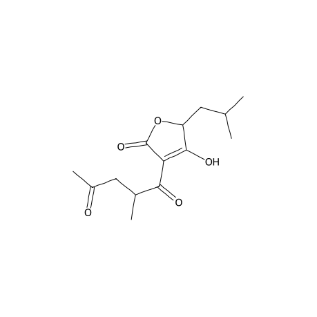 CC(=O)CC(C)C(=O)C1=C(O)C(CC(C)C)OC1=O